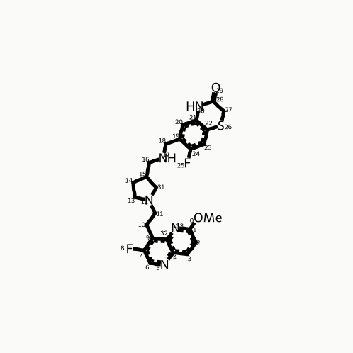 COc1ccc2ncc(F)c(CCN3CCC(CNCc4cc5c(cc4F)SCC(=O)N5)C3)c2n1